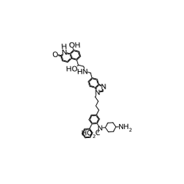 NC1CCC(N(C(=O)O)c2cc(CCCCn3cnc4cc(CNC[C@@H](O)c5ccc(O)c6[nH]c(=O)ccc56)ccc43)ccc2-c2ccccc2)CC1